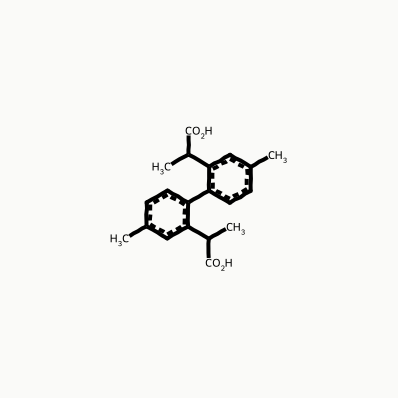 Cc1ccc(-c2ccc(C)cc2C(C)C(=O)O)c(C(C)C(=O)O)c1